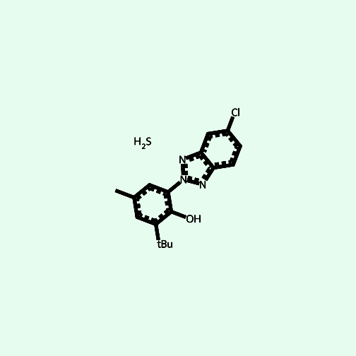 Cc1cc(-n2nc3ccc(Cl)cc3n2)c(O)c(C(C)(C)C)c1.S